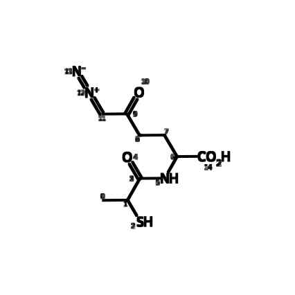 CC(S)C(=O)NC(CCC(=O)C=[N+]=[N-])C(=O)O